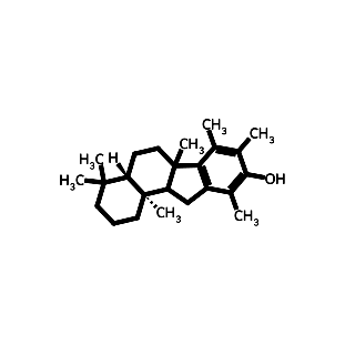 Cc1c(C)c2c(c(C)c1O)CC1C2(C)CC[C@H]2C(C)(C)CCC[C@]12C